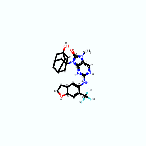 Cn1c(=O)n(C23CC4CC(CC(O)(C4)C2)C3)c2nc(NC3=CC4CCOC4C=C3C(F)(F)F)ncc21